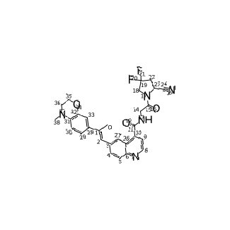 CC(=Cc1ccc2nccc(C(=O)NCC(=O)N3CC(F)(F)CC3C#N)c2c1)c1ccc2c(c1)OCCN2C